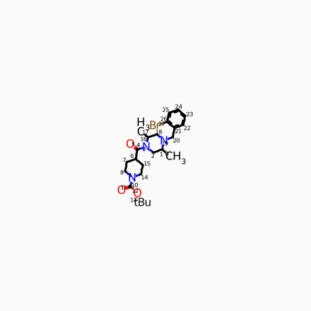 CC1CN(C(=O)C2CCN(C(=O)OC(C)(C)C)CC2)C(C)CN1Cc1ccccc1Br